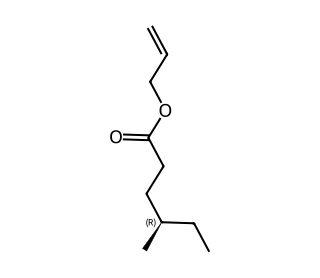 C=CCOC(=O)CC[C@H](C)CC